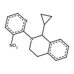 O=[N+]([O-])c1cccnc1N1CCc2ccccc2C1C1CC1